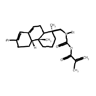 C=C(C)C(=O)OC(=O)N(CC)C[C@@]1(C)CCC[C@@]2(C)C1CC=C1C=C(C(C)C)CC[C@H]12